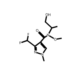 CON(C(=O)c1cn(C)nc1C(F)F)C(C)CO